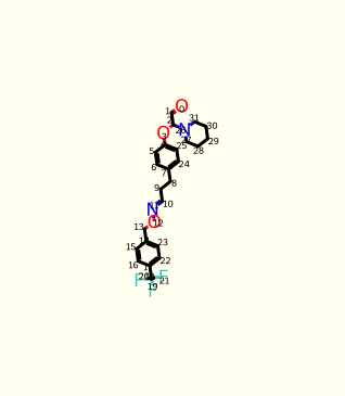 O=CC(Oc1ccc(CCC=NOCc2ccc(C(F)(F)F)cc2)cc1)N1CCCCC1